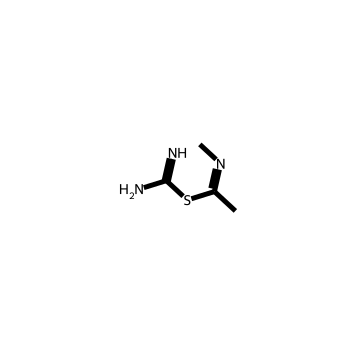 C/N=C(/C)SC(=N)N